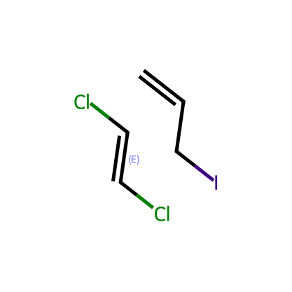 C=CCI.Cl/C=C/Cl